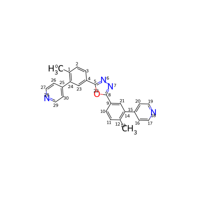 Cc1ccc(-c2nnc(-c3ccc(C)c(-c4ccncc4)c3)o2)cc1-c1ccncc1